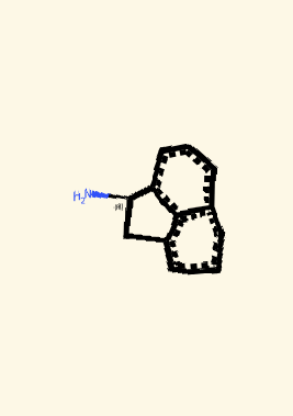 N[C@@H]1Cc2cccc3cccc1c23